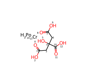 O=C(O)CC(O)(CC(=O)O)C(=O)O.[Cr].[PoH2]